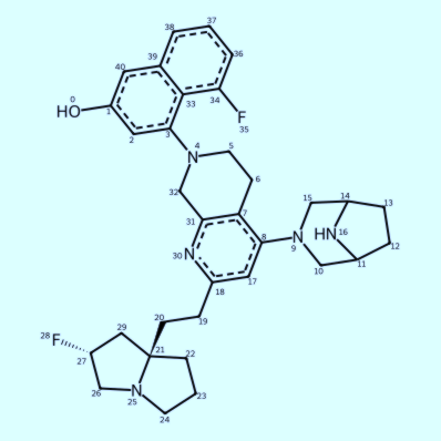 Oc1cc(N2CCc3c(N4CC5CCC(C4)N5)cc(CC[C@@]45CCCN4C[C@H](F)C5)nc3C2)c2c(F)cccc2c1